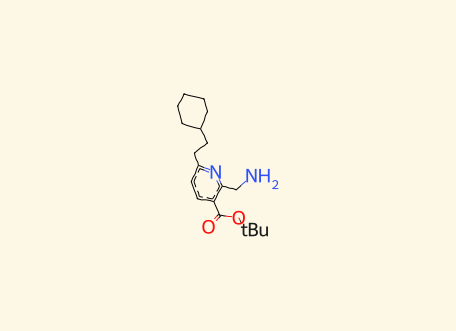 CC(C)(C)OC(=O)c1ccc(CCC2CCCCC2)nc1CN